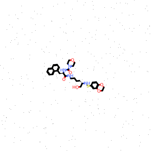 O=C(NCCCC[C@@H](CO)NSc1ccc2c(c1)OCCO2)[C@@H](Cc1cccc2ccccc12)NC(=O)N1CCOCC1